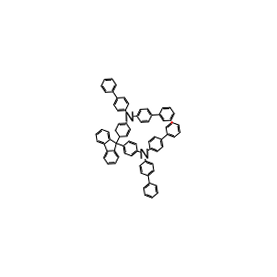 C1=CC(C2(c3ccc(N(c4ccc(-c5ccccc5)cc4)c4ccc(-c5ccccc5)cc4)cc3)c3ccccc3-c3ccccc32)CC=C1N(c1ccc(-c2ccccc2)cc1)c1ccc(-c2ccccc2)cc1